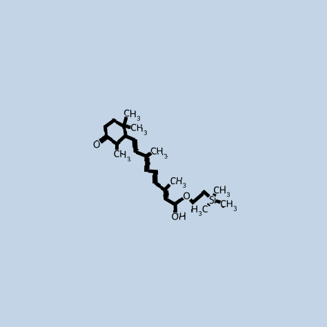 CC(/C=C/C1C(C)C(=O)CCC1(C)C)=C\C=C\C(C)=C\C(O)OCC[Si](C)(C)C